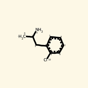 [CH2]C(N)Cc1ccccc1Cl